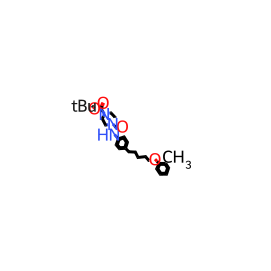 Cc1ccccc1OCCCCCc1ccc(NC(=O)N2CCN(C(=O)OC(C)(C)C)CC2)cc1